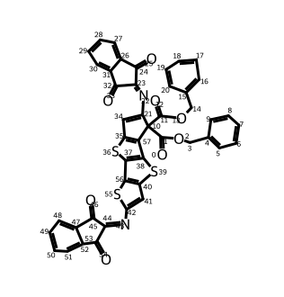 O=C(OCc1ccccc1)C1(C(=O)OCc2ccccc2)C(N=c2c(=O)c3ccccc3c2=O)=Cc2sc3c(sc4cc(N=c5c(=O)c6ccccc6c5=O)sc43)c21